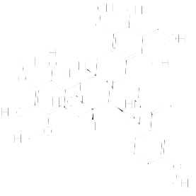 COc1cccc(C(=O)NC[C@H]2c3c(O)c(CO)c(C)c(OC)c3C[C@H]3[C@@H]4c5c(O)c(OC)c(C)c(OC)c5C[C@@H]([C@H](C#N)N23)N4C)c1